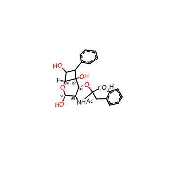 CC(=O)N[C@@H]1[C@@H](OC(C)(Cc2ccccc2)C(=O)O)[C@@]2(O)C(c3ccccc3)C(O)[C@H]2O[C@@H]1O